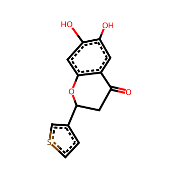 O=C1CC(c2ccsc2)Oc2cc(O)c(O)cc21